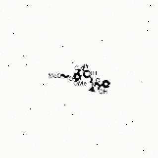 COCCCOc1cc(C(=O)N(C(C)C)[C@@H]2CC[C@H](CCN(C(=O)C(CO)c3ccccc3)C3CC3)NC2)ccc1OC